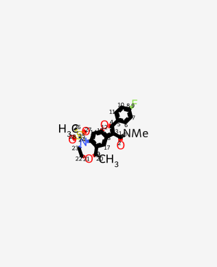 CNC(=O)c1c(-c2ccc(F)cc2)oc2cc3c(cc12)[C@H](C)OCCN3S(C)(=O)=O